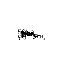 CCOC(=O)CNC(=O)c1ccc(-c2nc(C(Cl)(Cl)Cl)nc(C(Cl)(Cl)Cl)n2)c(Cl)c1